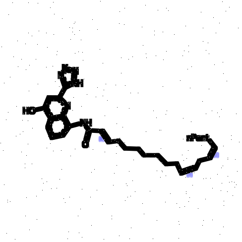 CCCCC/C=C\C/C=C\CCCCCCC/C=C/C(=O)Nc1cccc2c(O)cc(-c3nnn[nH]3)nc12